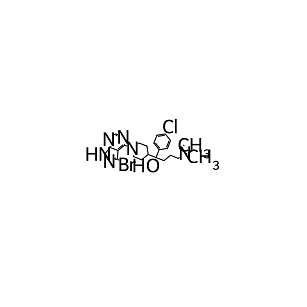 CN(C)CCCC(O)(c1ccc(Cl)cc1)C1CCN(c2ncnc3[nH]nc(Br)c23)CC1